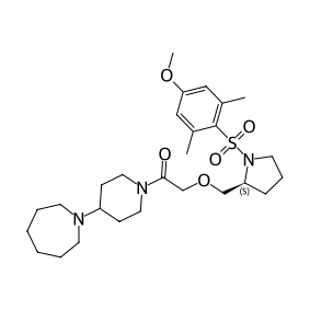 COc1cc(C)c(S(=O)(=O)N2CCC[C@H]2COCC(=O)N2CCC(N3CCCCCC3)CC2)c(C)c1